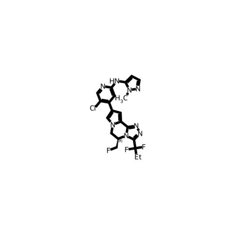 CCC(F)(F)c1nnc2n1[C@@H](CF)Cn1cc(-c3cc(Nc4ccnn4C)ncc3Cl)cc1-2